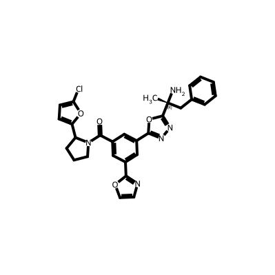 C[C@@](N)(Cc1ccccc1)c1nnc(-c2cc(C(=O)N3CCCC3c3ccc(Cl)o3)cc(-c3ncco3)c2)o1